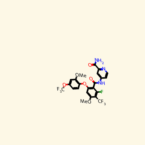 COc1cc(OC(F)(F)F)ccc1Oc1cc(OC)c(C(F)(F)F)c(F)c1C(=O)Nc1ccnc(C(N)=O)c1